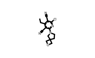 CCc1c(C#N)c(Cl)nc(N2CCC3(COC3)C2)c1C#N